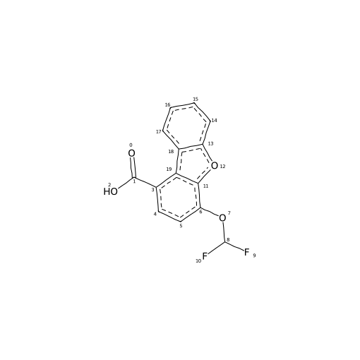 O=C(O)c1ccc(OC(F)F)c2oc3ccccc3c12